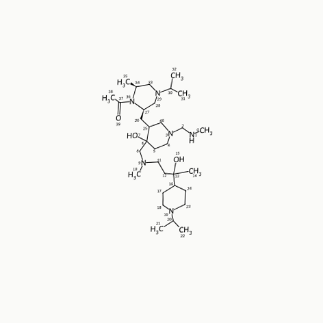 CNCN1CCC(O)(CN(C)CCC(C)(O)C2CCN(C(C)C)CC2)C(C[C@@H]2CN(C(C)C)C[C@H](C)N2C(C)=O)C1